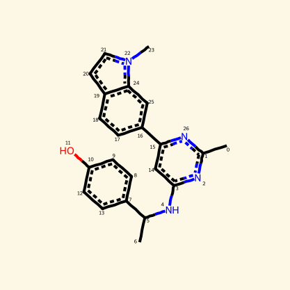 Cc1nc(NC(C)c2ccc(O)cc2)cc(-c2ccc3ccn(C)c3c2)n1